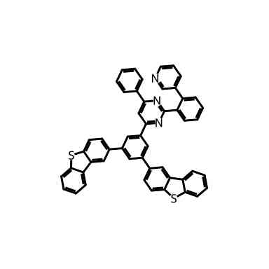 c1ccc(-c2cc(-c3cc(-c4ccc5sc6ccccc6c5c4)cc(-c4ccc5sc6ccccc6c5c4)c3)nc(-c3ccccc3-c3cccnc3)n2)cc1